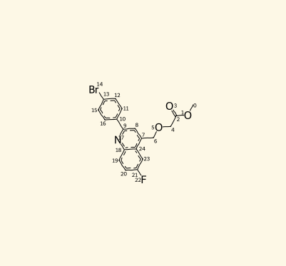 COC(=O)COCc1cc(-c2ccc(Br)cc2)nc2ccc(F)cc12